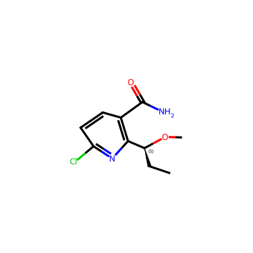 CC[C@H](OC)c1nc(Cl)ccc1C(N)=O